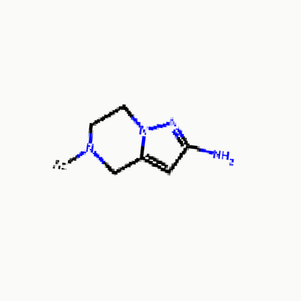 CC(=O)N1CCn2nc(N)cc2C1